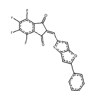 O=C1C(=Cc2cc3oc(-c4ccccc4)cc3s2)C(=O)c2c(F)c(F)c(F)c(F)c21